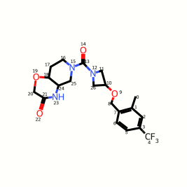 Cc1cc(C(F)(F)F)ccc1COC1CN(C(=O)N2CCC3OCC(=O)NC3C2)C1